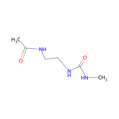 CNC(=O)NCCNC(C)=O